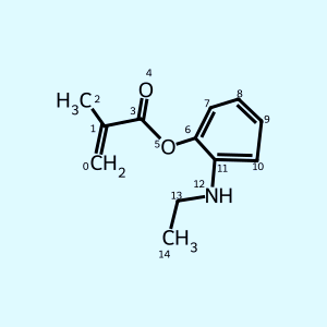 C=C(C)C(=O)Oc1ccccc1NCC